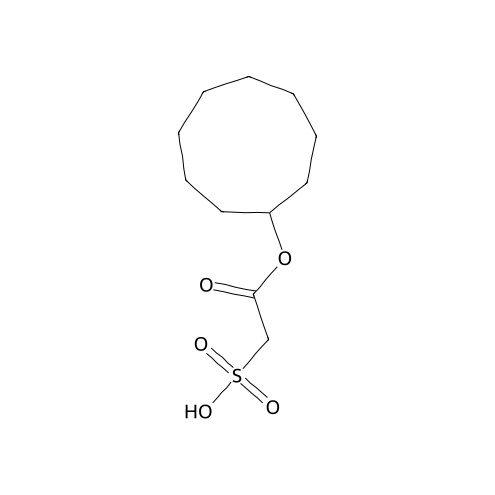 O=C(CS(=O)(=O)O)OC1CCCCCCCC1